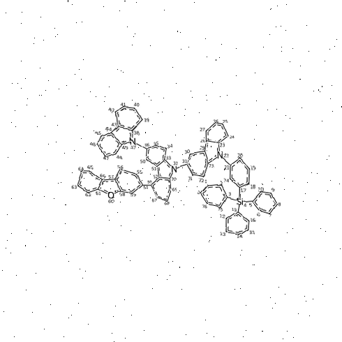 c1ccc([Si](c2ccccc2)(c2ccccc2)c2cccc(-n3c4ccccc4c4cc(-n5c6ccc(-n7c8ccccc8c8ccccc87)cc6c6c(-c7ccc8c(c7)oc7ccccc78)cccc65)ccc43)c2)cc1